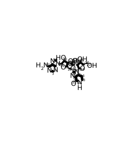 Nc1ncnc2c1ncn2[C@@H]1O[C@H](COP(=O)(O)[C@@H]2[C@H](O)[C@@H](CO)O[C@H]2n2cnc3c(=O)[nH]ccc32)[C@@H](O)[C@H]1O